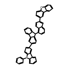 c1ccc(-n2c3ccccc3c3cc(-c4ccc5c(c4)-c4ccccc4C5c4cccc5cc(-c6ccc7oc8ccccc8c7c6)ccc45)ccc32)cc1